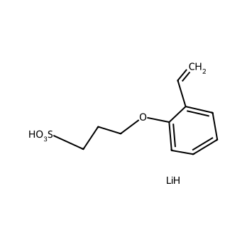 C=Cc1ccccc1OCCCS(=O)(=O)O.[LiH]